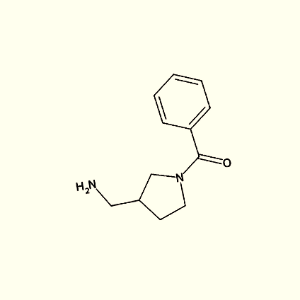 NCC1CCN(C(=O)c2ccccc2)C1